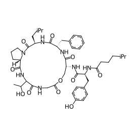 CC(C)CCCC(=O)N[C@@H](Cc1ccc(O)cc1)C(=O)N[C@@H]1COC(=O)CNC(=O)C(C(C)O)NC(=O)[C@@H]2CCCN2C(=O)[C@@H](CC(C)C)NC(=O)[C@H](Cc2ccccc2)NC1=O